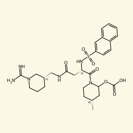 C[C@@H]1CCN(C(=O)[C@H](CC(=O)NC[C@@H]2CCCN(C(=N)N)C2)NS(=O)(=O)c2ccc3ccccc3c2)C(OC(=O)O)C1